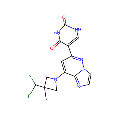 CC1(C(F)F)CN(c2cc(-c3c[nH]c(=O)[nH]c3=O)nn3ccnc23)C1